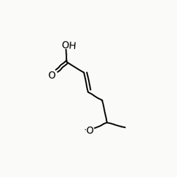 CC([O])CC=CC(=O)O